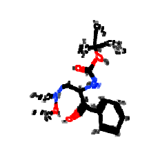 CON(C)CC(NC(=O)OC(C)(C)C)C(=O)c1ccccc1